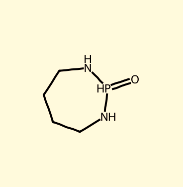 O=[PH]1NCCCCN1